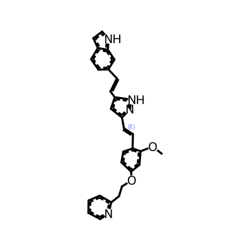 COc1cc(OCCc2ccccn2)ccc1/C=C/c1cc(C=Cc2ccc3cc[nH]c3c2)[nH]n1